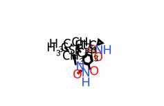 CC(C)[Si](C#CCn1c(=O)[nH]c(=O)c2cc(S(=O)(=O)NC3(C)CC3)ccc21)(C(C)C)C(C)C